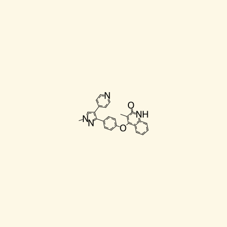 Cc1c(Oc2ccc(-c3nn(C)cc3-c3ccncc3)cc2)c2ccccc2[nH]c1=O